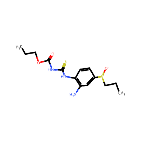 CCCOC(=O)NC(=S)Nc1ccc([S+]([O-])CCC)cc1N